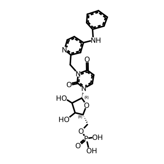 O=c1ccn([C@@H]2O[C@H](COP(=O)(O)O)C(O)C2O)c(=O)n1Cc1cc(Nc2ccccc2)ccn1